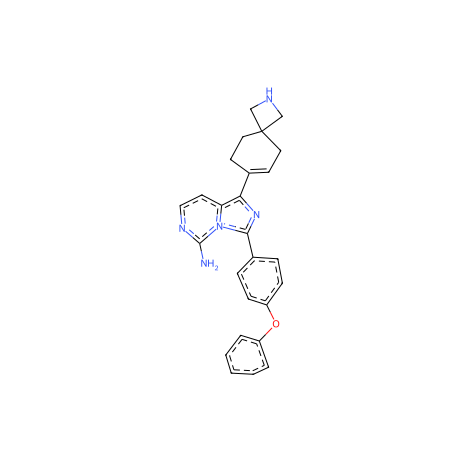 Nc1nccc2c(C3=CCC4(CC3)CNC4)nc(-c3ccc(Oc4ccccc4)cc3)n12